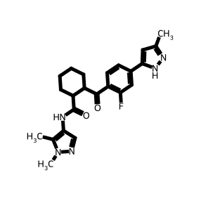 Cc1cc(-c2ccc(C(=O)C3CCCCC3C(=O)Nc3cnn(C)c3C)c(F)c2)[nH]n1